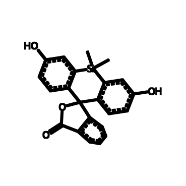 C[Si]1(C)c2cc(O)ccc2C2(OC(=O)c3ccccc32)c2ccc(O)cc21